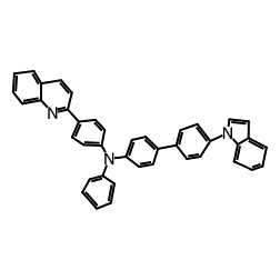 c1ccc(N(c2ccc(-c3ccc(-n4ccc5ccccc54)cc3)cc2)c2ccc(-c3ccc4ccccc4n3)cc2)cc1